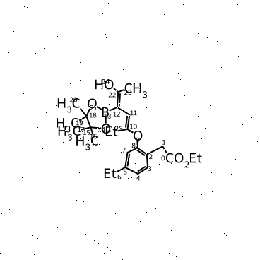 CCOC(=O)Cc1ccc(CC)cc1O/C(=C/C(B1OC(C)(C)C(C)(C)O1)=C(\C)O)CC